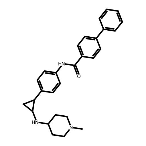 CN1CCC(NC2CC2c2ccc(NC(=O)c3ccc(-c4ccccc4)cc3)cc2)CC1